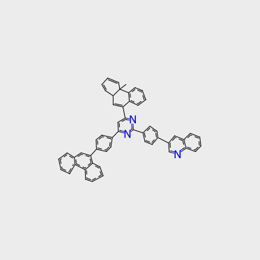 CC12C=CC=CC1C=C(c1cc(-c3ccc(-c4cc5ccccc5c5ccccc45)cc3)nc(-c3ccc(-c4cnc5ccccc5c4)cc3)n1)c1ccccc12